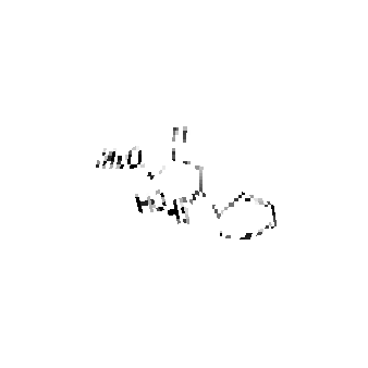 CCC(CC(S)C1C=CC=CC1)C(O)OC